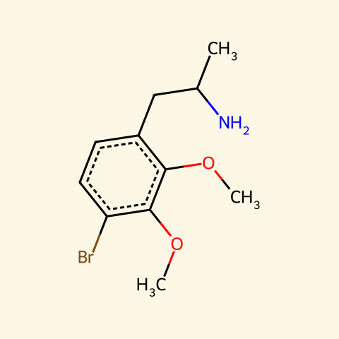 COc1c(Br)ccc(CC(C)N)c1OC